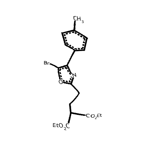 CCOC(=O)C(CCc1nc(-c2ccc(C)cc2)c(Br)o1)C(=O)OCC